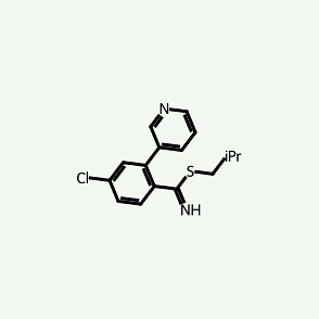 CC(C)CSC(=N)c1ccc(Cl)cc1-c1cccnc1